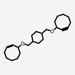 C1#CC(OCC2CCC(COC3/C=C\CCCCC3)CC2)CCCCC1